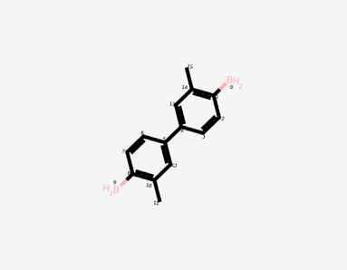 Bc1ccc(-c2ccc(B)c(C)c2)cc1C